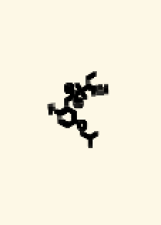 CCC(=N)C(C)(C)S(=O)(=O)Cc1cc(OCC(C)C)ccc1F